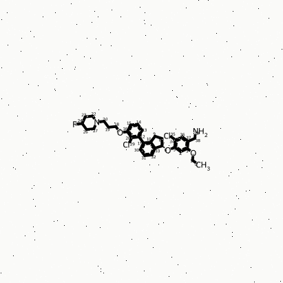 CCOc1cc(O[C@H]2CCc3c(-c4cccc(OCCCN5CCC(F)CC5)c4Cl)cccc32)c(Cl)cc1CN